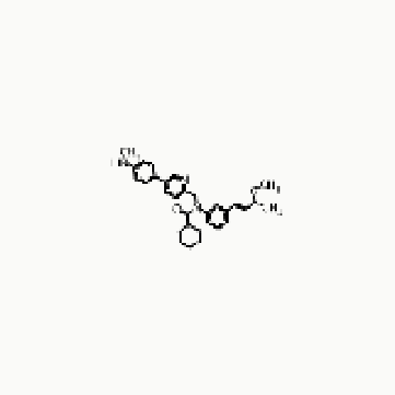 CNc1ccc(-c2ccc(CN(C(=O)C3CCCCC3)c3cccc(/C=C/C(C)OC)c3)nc2)cc1